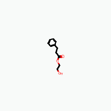 O=C(CCc1ccccc1)OCCO